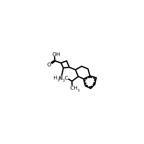 CC(C)C1c2ccccc2CCC1C1CC(C(=O)O)C1C